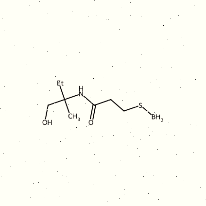 BSCCC(=O)NC(C)(CC)CO